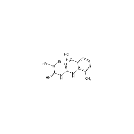 CCCN(CC)C(=N)NC(=O)Nc1c(C)cccc1C.Cl